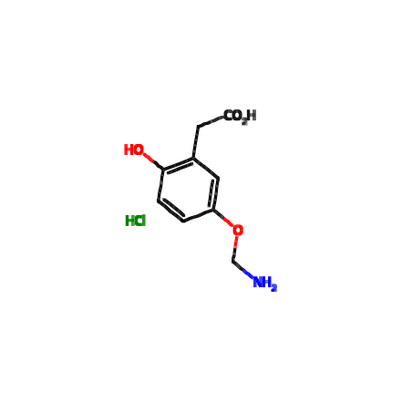 Cl.NCOc1ccc(O)c(CC(=O)O)c1